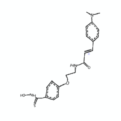 CN(C)c1ccc(/C=C/C(=O)NCCOc2ccc(C(=S)NO)cc2)cc1